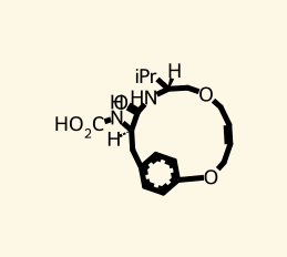 CC(C)[C@@H]1COCC=CCOc2ccc(cc2)C[C@@H](NC(=O)O)C(=O)N1